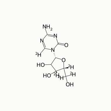 [2H]c1nc(N)nc(=O)n1[C@@H]1O[C@]([2H])(C([2H])([2H])O)[C@]([2H])(O)C1O